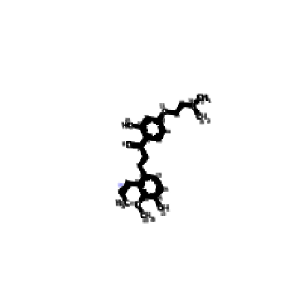 C/C=C\c1c(CCC(=O)c2ccc(OCCN(C)C)cc2O)ccc(O)c1OC